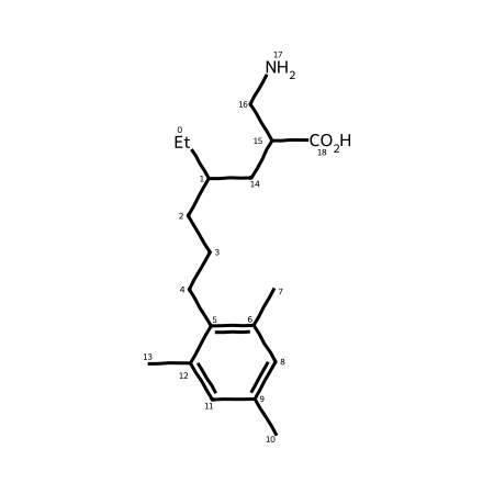 CCC(CCCc1c(C)cc(C)cc1C)CC(CN)C(=O)O